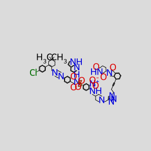 CC1(C)CCC(CN2CCN(c3ccc(C(=O)NS(=O)(=O)c4ccc(NCC5CCN(Cc6cn(CCC#Cc7cccc8c7CN(C7CCC(=O)NC7=O)C8=O)nn6)CC5)c([N+](=O)[O-])c4)c(Oc4cnc5[nH]ccc5c4)c3)CC2)=C(c2ccc(Cl)cc2)C1